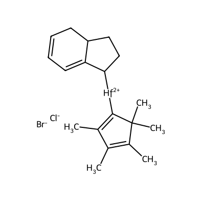 CC1=C(C)C(C)(C)[C]([Hf+2][CH]2CCC3CC=CC=C32)=C1C.[Br-].[Cl-]